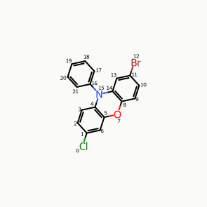 Clc1ccc2c(c1)Oc1ccc(Br)cc1N2c1ccccc1